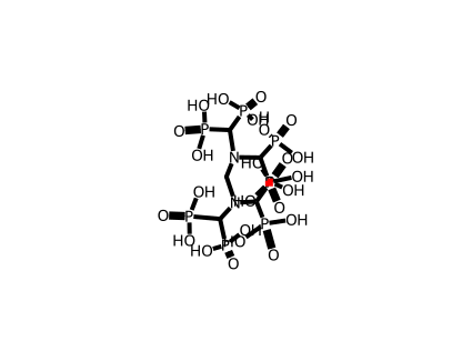 O=P(O)(O)C(N(CN(C(P(=O)(O)O)P(=O)(O)O)C(P(=O)(O)O)P(=O)(O)O)C(P(=O)(O)O)P(=O)(O)O)P(=O)(O)O